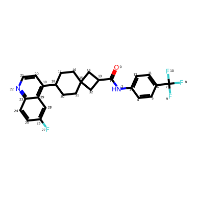 O=C(Nc1ccc(C(F)(F)F)cc1)C1CC2(CCC(c3ccnc4ccc(F)cc34)CC2)C1